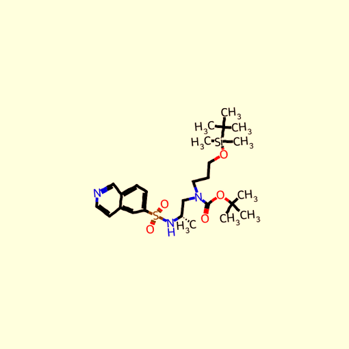 C[C@@H](CN(CCCO[Si](C)(C)C(C)(C)C)C(=O)OC(C)(C)C)NS(=O)(=O)c1ccc2cnccc2c1